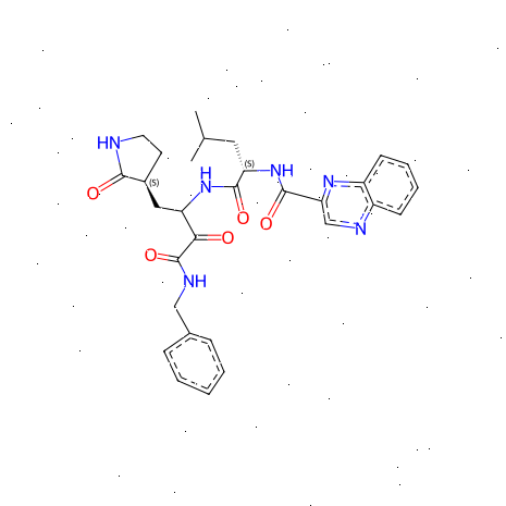 CC(C)C[C@H](NC(=O)c1cnc2ccccc2n1)C(=O)NC(C[C@@H]1CCNC1=O)C(=O)C(=O)NCc1ccccc1